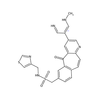 CN/C=C(\C=N)c1cnc2ccc3ccc(CS(=O)(=O)NCc4cscn4)cc3c(=O)c2c1